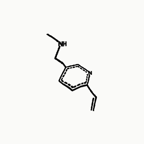 C=Cc1ccc(CNC)cn1